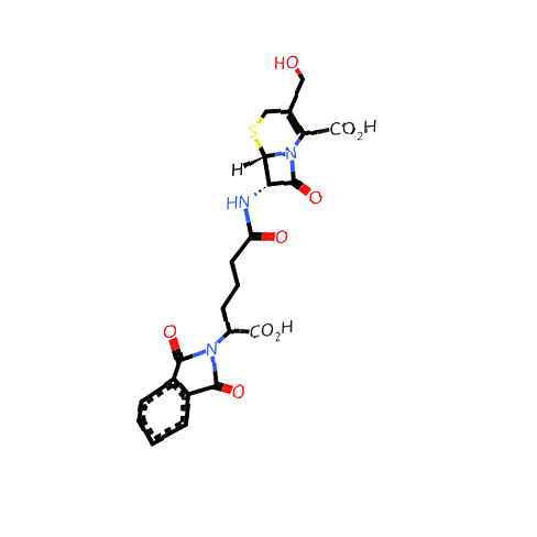 O=C(CCCC(C(=O)O)N1C(=O)c2ccccc2C1=O)N[C@H]1C(=O)N2C(C(=O)O)=C(CO)CS[C@@H]12